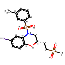 CCS(=O)(=O)CC[C@H]1CN(S(=O)(=O)c2cccc(C(F)(F)F)c2)c2cc(I)ccc2O1